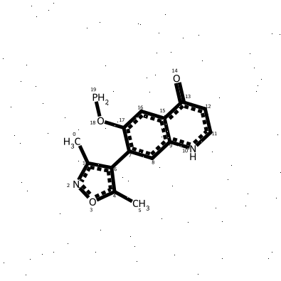 Cc1noc(C)c1-c1cc2[nH]ccc(=O)c2cc1OP